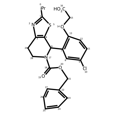 CC(C)c1nc2c(s1)C(c1cc(Cl)ccc1OCC(=O)O)N(C(=O)OCc1ccccc1)CC2